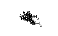 [2H]C([2H])([2H])Oc1ccc(N2C(=O)N(c3ccc4nn(C)cc4c3)Cc3c(N)nc(NCC(F)(F)F)nc32)cc1